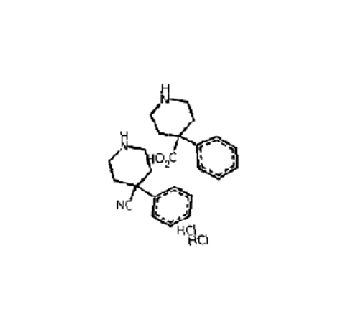 Cl.Cl.N#CC1(c2ccccc2)CCNCC1.O=C(O)C1(c2ccccc2)CCNCC1